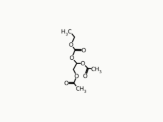 CCOC(=O)OC(COC(C)=O)OC(C)=O